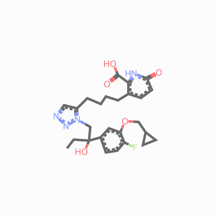 CCC(O)(Cn1nncc1CCCCc1ccc(=O)[nH]c1C(=O)O)c1ccc(F)c(OCC2CC2)c1